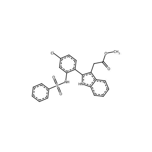 COC(=O)Cc1c(-c2ccc(Cl)cc2NS(=O)(=O)c2ccccc2)[nH]c2ccccc12